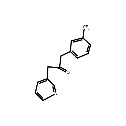 O=C(Cc1cccnc1)Cc1cccc(C(F)(F)F)c1